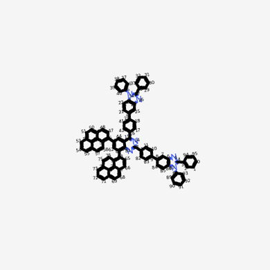 c1ccc(-c2nc3cc(-c4ccc(-c5nc(-c6ccc(-c7ccc8c(c7)nc(-c7ccccc7)n8-c7ccccc7)cc6)c6cc(-c7ccc8ccc9cccc%10ccc7c8c9%10)cc(-c7ccc8ccc9cccc%10ccc7c8c9%10)c6n5)cc4)ccc3n2-c2ccccc2)cc1